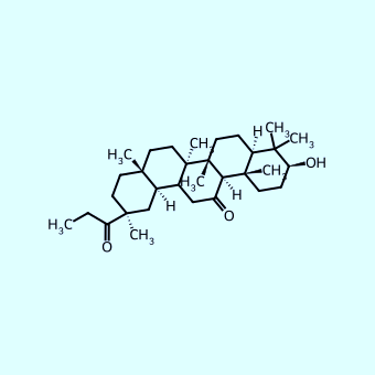 CCC(=O)[C@@]1(C)CC[C@]2(C)CC[C@]3(C)C(CC(=O)[C@@H]4[C@@]5(C)CC[C@H](O)C(C)(C)[C@@H]5CC[C@]43C)[C@H]2C1